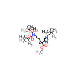 CCOC(=O)C1(c2cn(CCC(C)(C)C)cn2)CC1CCCN(C(=O)OC(C)(C)C)C(=O)OC(C)(C)C